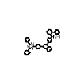 c1ccc(-c2nc(-c3ccccc3)nc(-c3ccc(-c4cc(-c5ccc(C6Nc7ccccc7-c7ccccc76)cc5)c5ccccc5c4)cc3)n2)cc1